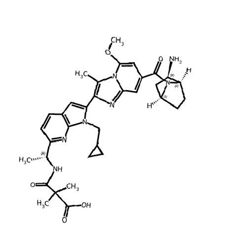 COc1cc(C(=O)N2[C@H]3CC[C@@H]2[C@H](N)C3)cc2nc(-c3cc4ccc([C@@H](C)NC(=O)C(C)(C)C(=O)O)nc4n3CC3CC3)c(C)n12